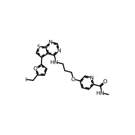 CNC(=O)c1ccc(OCCCNc2ncnc3scc(-c4ccc(CI)o4)c23)cn1